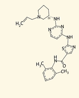 C=CCN1CCC[C@H](Nc2nccc(Nc3ncc(C(=O)Nc4c(C)cccc4C)s3)n2)C1